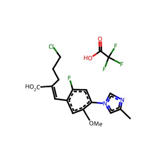 COc1cc(C=C(CCCCl)C(=O)O)c(F)cc1-n1cnc(C)c1.O=C(O)C(F)(F)F